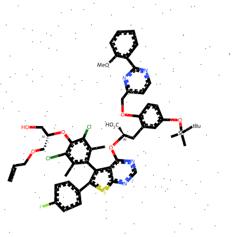 C=CCOC[C@H](CO)Oc1c(Cl)c(C)c(-c2c(-c3ccc(F)cc3)sc3ncnc(O[C@H](Cc4cc(O[Si](C)(C)C(C)(C)C)ccc4OCc4ccnc(-c5ccccc5OC)n4)C(=O)O)c23)c(C)c1Cl